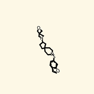 c1cc2ccc(SN3CCC4(CCC(N5CC6(COC6)C5)C4)CC3)cc2o1